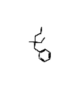 CCCC(C)(CC)Cc1ccccn1